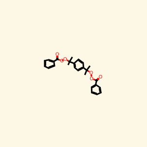 CC(C)(OOC(=O)c1ccccc1)c1ccc(C(C)(C)OOC(=O)c2ccccc2)cc1